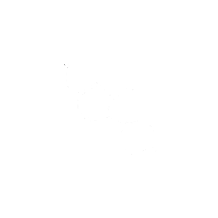 O=NCC1=CC(C(F)(F)F)=C(C2CCCCC2)CC1